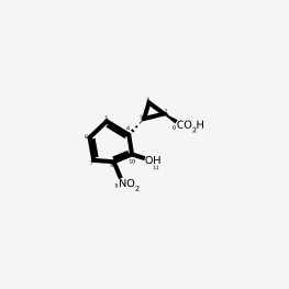 O=C(O)[C@@H]1C[C@H]1c1cccc([N+](=O)[O-])c1O